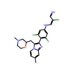 Cc1ccn2c(CC3CN(C)CCO3)c(-c3c(F)cc(N/C=C(/Br)C=N)cc3F)nc2c1